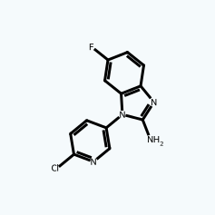 Nc1nc2ccc(F)cc2n1-c1ccc(Cl)nc1